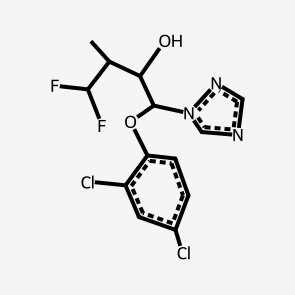 CC(C(F)F)C(O)C(Oc1ccc(Cl)cc1Cl)n1cncn1